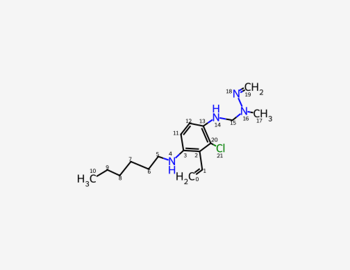 C=Cc1c(NCCCCCC)ccc(NCN(C)N=C)c1Cl